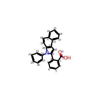 O=C(O)c1ccccc1-c1cc2c3ccccc3ccc2n1-c1ccccc1